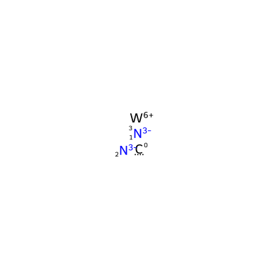 [C].[N-3].[N-3].[W+6]